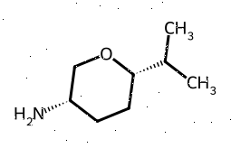 CC(C)[C@@H]1CC[C@H](N)CO1